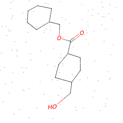 O=C(OCC1CCCCC1)C1CCC(CO)CC1